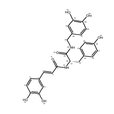 O=C(C=Cc1ccc(O)c(O)c1)N[C@@H](Cc1ccc(O)cc1)C(=O)NCc1ccc(O)c(O)c1